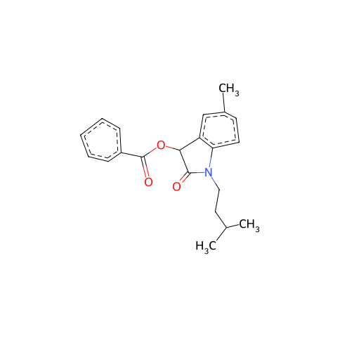 Cc1ccc2c(c1)C(OC(=O)c1ccccc1)C(=O)N2CCC(C)C